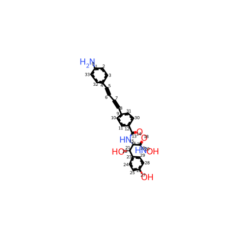 Nc1ccc(C#CC#Cc2ccc(C(=O)N[C@H](C(=O)NO)[C@H](O)c3ccc(O)cc3)cc2)cc1